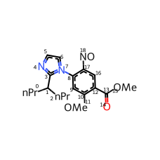 CCCC(CCC)c1nccn1-c1cc(OC)c(C(=O)OC)cc1N=O